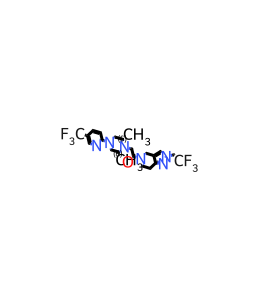 C[C@@H]1CN(c2ccc(C(F)(F)F)cn2)C[C@H](C)N1CC(=O)N1CCc2nn(CC(F)(F)F)cc2C1